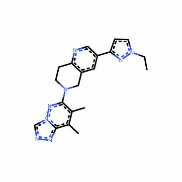 CCn1ccc(-c2cnc3c(c2)CN(c2nn4cnnc4c(C)c2C)CC3)n1